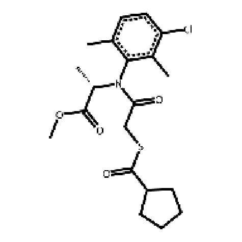 COC(=O)[C@H](C)N(C(=O)CSC(=O)C1CCCC1)c1c(C)ccc(Cl)c1C